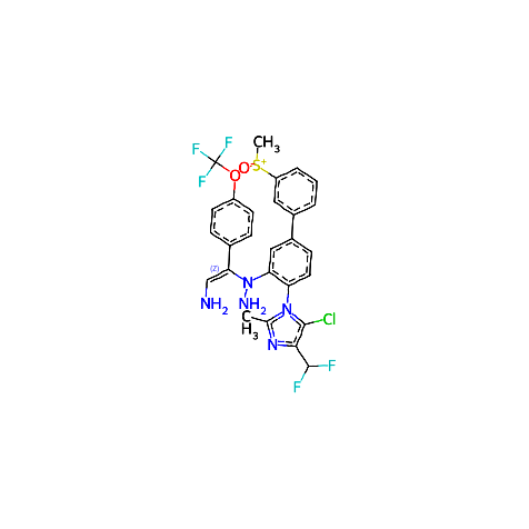 Cc1nc(C(F)F)c(Cl)n1-c1ccc(-c2cccc([S+](C)[O-])c2)cc1N(N)/C(=C\N)c1ccc(OC(F)(F)F)cc1